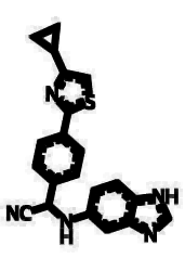 N#CC(Nc1ccc2[nH]cnc2c1)c1ccc(-c2nc(C3CC3)cs2)cc1